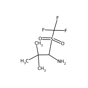 CC(C)(C)C(N)S(=O)(=O)C(F)(F)F